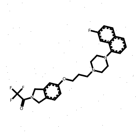 O=C(N1Cc2ccc(OCCCN3CCN(c4cccc5ccc(F)cc45)CC3)cc2C1)C(F)(F)F